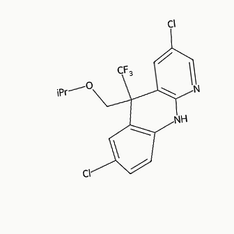 CC(C)OCC1(C(F)(F)F)c2cc(Cl)ccc2Nc2ncc(Cl)cc21